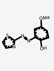 COc1ccc(O)c(/N=N/c2nccs2)c1